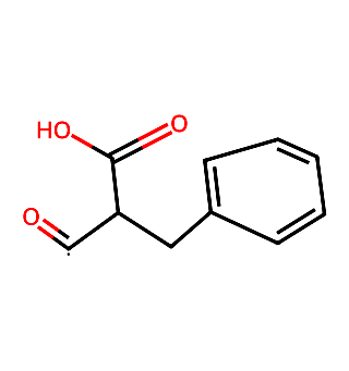 O=[C]C(Cc1ccccc1)C(=O)O